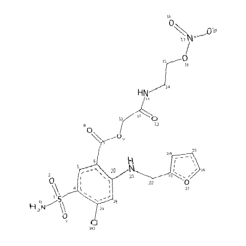 NS(=O)(=O)c1cc(C(=O)OCC(=O)NCCO[N+](=O)[O-])c(NCc2ccco2)cc1Cl